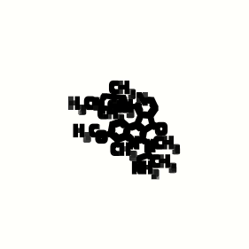 COc1ccc2c3c(c(N(C)C(C)CN)nc2c1C)C(=O)c1ccnc(NCC(C)(C)CN(C)C)c1-3